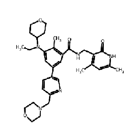 CCN(c1cc(-c2ccc(CN3CCOCC3)nc2)cc(C(=O)NCc2c(C)cc(C)[nH]c2=O)c1C)C1CCOCC1